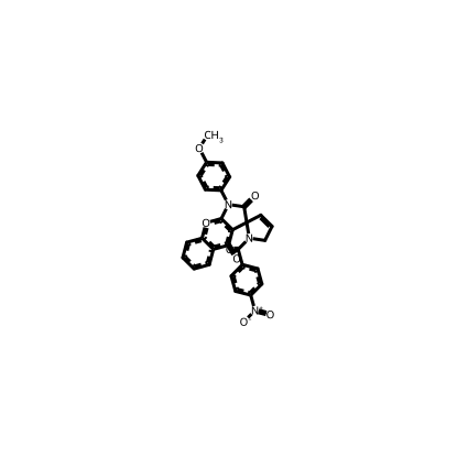 COc1ccc(N2C(=O)C3(C=CCN3C(=O)c3ccc([N+](=O)[O-])cc3)c3c2oc2ccccc2c3=O)cc1